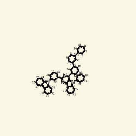 c1ccc(-c2cccc(-c3cccc(-c4nc(-c5cccc(-n6c7ccccc7c7ccccc76)c5)nc5c6ccccc6n(-c6ccccc6)c45)c3)c2)cc1